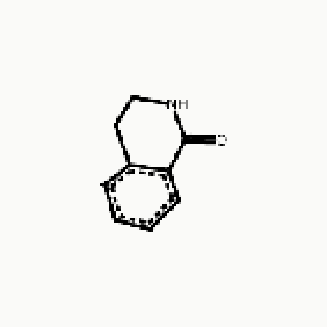 O=C1NCCc2[c]cccc21